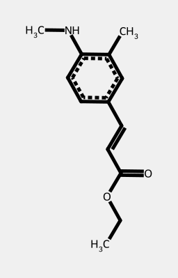 CCOC(=O)C=Cc1ccc(NC)c(C)c1